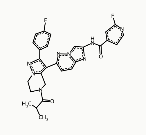 CC(C)C(=O)N1CCn2nc(-c3ccc(F)cc3)c(-c3ccc4nc(NC(=O)c5ccnc(F)c5)cn4n3)c2C1